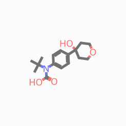 CC(C)(C)N(C(=O)O)c1ccc(C2(O)CCOCC2)cc1